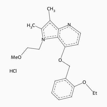 CCOc1ccccc1COc1ccnc2c(C)c(C)n(CCOC)c12.Cl